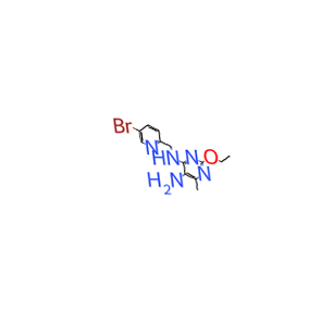 CCOc1nc(C)c(N)c(NCc2ccc(Br)cn2)n1